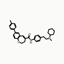 Cc1ccc(-c2ccc3c(c2)C=C(C(=O)Nc2ccc(CCN(C)C4CCCCC4)cc2)CCO3)cc1